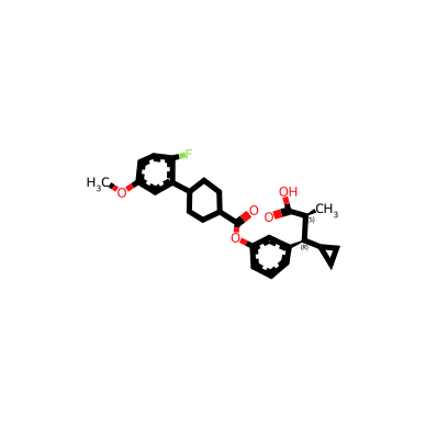 COc1ccc(F)c(C2CCC(C(=O)Oc3cccc([C@H](C4CC4)[C@H](C)C(=O)O)c3)CC2)c1